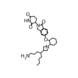 CCCCC(CCCN)C1CN(C2CCCCC2Oc2ccc3c(c2)CN(C2CCC(=O)NC2=O)C3=O)C1